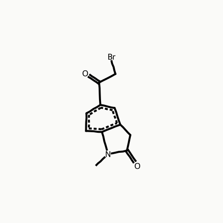 CN1C(=O)Cc2cc(C(=O)CBr)ccc21